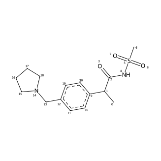 CC(C(=O)NS(C)(=O)=O)c1ccc(CN2CCCC2)cc1